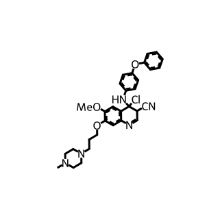 COc1cc2c(cc1OCCCN1CCN(C)CC1)N=CC(C#N)C2(Cl)Nc1ccc(Oc2ccccc2)cc1